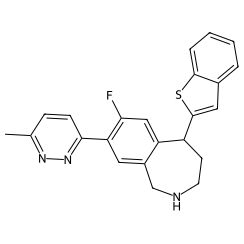 Cc1ccc(-c2cc3c(cc2F)C(c2cc4ccccc4s2)CCNC3)nn1